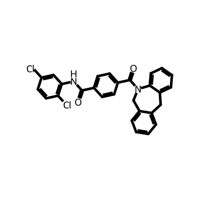 O=C(Nc1cc(Cl)ccc1Cl)c1ccc(C(=O)N2Cc3ccccc3Cc3ccccc32)cc1